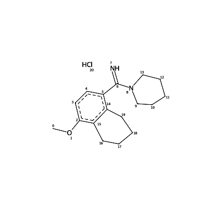 COc1ccc(C(=N)N2CCCCC2)c2c1CCCC2.Cl